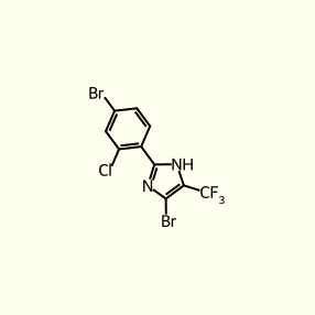 FC(F)(F)c1[nH]c(-c2ccc(Br)cc2Cl)nc1Br